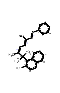 C/C(=C/C=C(C#N)/C=N/c1ccccc1)C(C)(C)c1c(C)ccc2ccccc12